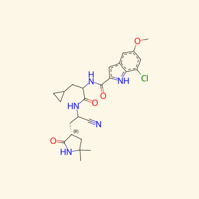 COc1cc(Cl)c2[nH]c(C(=O)NC(CC3CC3)C(=O)NC(C#N)C[C@@H]3CC(C)(C)NC3=O)cc2c1